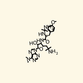 COc1ccc(C[C@H](NC(C)(C)N)C(=O)NC2C(CC(C)(C)N)OC(n3cnc4c(N(C)C)ncnc43)C2O)cc1